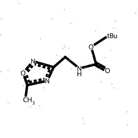 Cc1nc(CNC(=O)OC(C)(C)C)no1